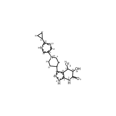 O=C1Nc2[nH]nc(C3CCN(c4cnc(C5CC5)nc4)CC3)c2C(C(F)(F)F)C1O